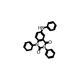 O=c1c2cc(Nc3ccccc3)ccc2n(C2=CC=CCC2)c(=O)n1-c1ccccc1